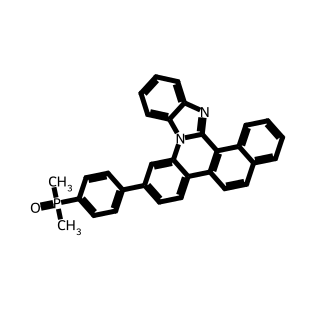 CP(C)(=O)c1ccc(-c2ccc3c4ccc5ccccc5c4c4nc5ccccc5n4c3c2)cc1